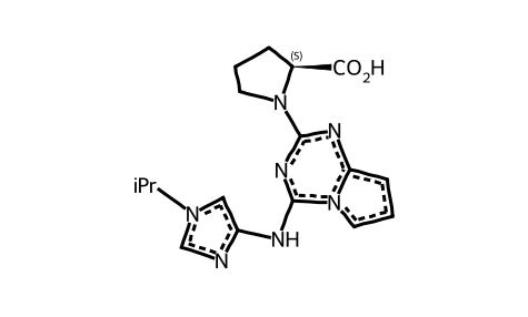 CC(C)n1cnc(Nc2nc(N3CCC[C@H]3C(=O)O)nc3cccn23)c1